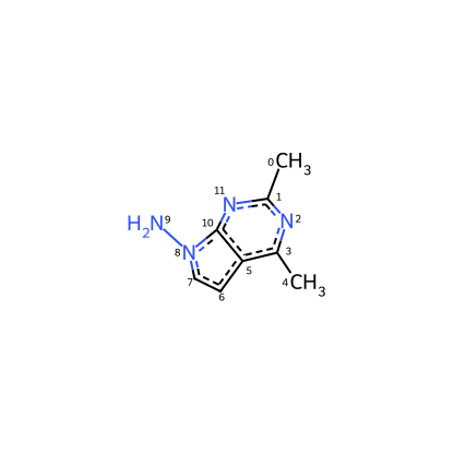 Cc1nc(C)c2ccn(N)c2n1